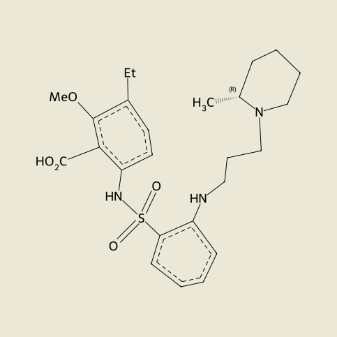 CCc1ccc(NS(=O)(=O)c2ccccc2NCCCN2CCCC[C@H]2C)c(C(=O)O)c1OC